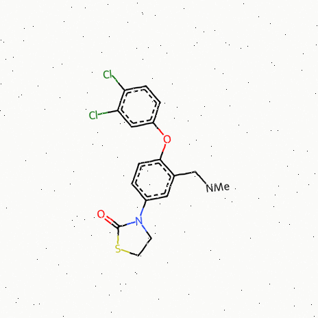 CNCc1cc(N2CCSC2=O)ccc1Oc1ccc(Cl)c(Cl)c1